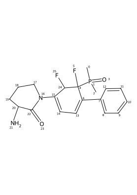 CP(C)(=O)C1(F)C(c2ccccc2)=CC=C(N2CCCC(N)C2=O)C1F